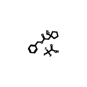 NC1(CC(=O)OCc2ccccc2)CCCC1.O=C(O)C(F)(F)F